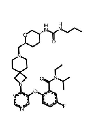 CCCNC(=O)N[C@@H]1CC[C@@H](CN2CCC3(CC2)CN(c2ncncc2Oc2ccc(F)cc2C(=O)N(CC)C(C)C)C3)OC1